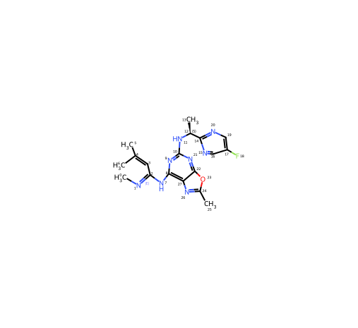 C/N=C(\C=C(C)C)Nc1nc(N[C@@H](C)c2ncc(F)cn2)nc2oc(C)nc12